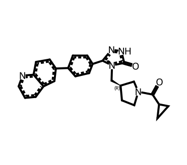 O=C(C1CC1)N1CC[C@@H](Cn2c(-c3ccc(-c4ccc5ncccc5c4)cc3)n[nH]c2=O)C1